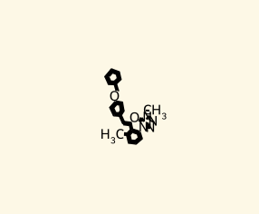 Cc1cccc(-n2nnn(C)c2=O)c1/C=C/c1ccc(OCc2ccccc2)cc1